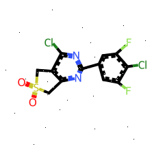 O=S1(=O)Cc2nc(-c3cc(F)c(Cl)c(F)c3)nc(Cl)c2C1